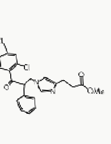 COC(=O)CCc1cn(CC(C(=O)c2ccc(Cl)cc2Cl)c2ccccc2)cn1